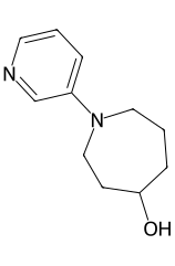 OC1CCCN(c2cccnc2)CC1